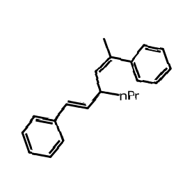 [CH2]CCC(C=Cc1ccccc1)C=C(C)c1ccccc1